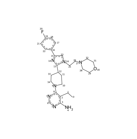 CCc1c(N)ncnc1N1CCC(c2nc(-c3ccc(F)cc3)cn2CCN2CCOCC2)CC1